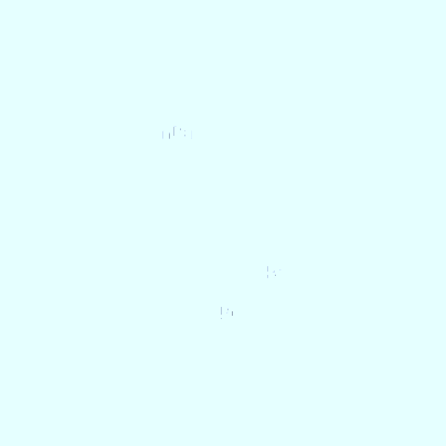 CCCCCCCCC(Br)Br